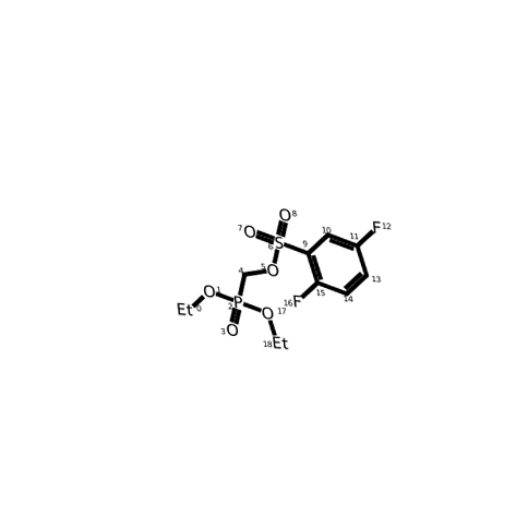 CCOP(=O)(COS(=O)(=O)c1cc(F)ccc1F)OCC